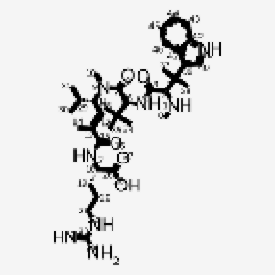 CNC(C(=O)N[C@H](C(=O)N(C)[C@H](/C=C(\C)C(=O)N[C@@H](CCCNC(=N)N)C(=O)O)C(C)C)C(C)(C)C)C(C)(C)c1c[nH]c2ccccc12